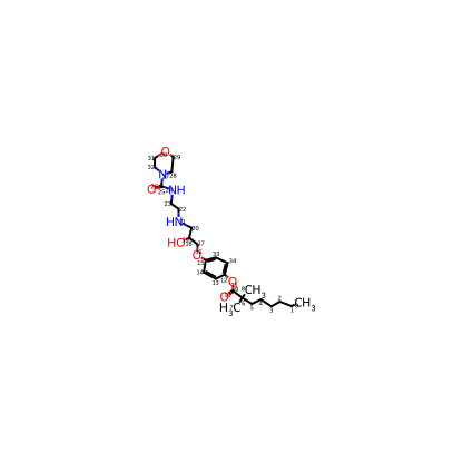 CCCCCCC(C)(C)C(=O)Oc1ccc(OC[C@@H](O)CNCCNC(=O)N2CCOCC2)cc1